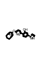 Oc1cc(-n2ccnn2)ccc1-c1ccc(OC2CC3CCCC(C2)N3)nn1